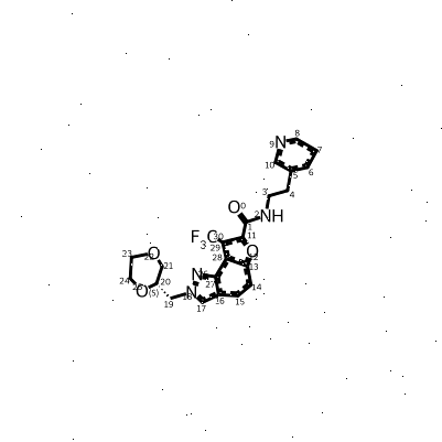 O=C(NCCc1cccnc1)c1oc2ccc3cn(C[C@H]4COCCO4)nc3c2c1C(F)(F)F